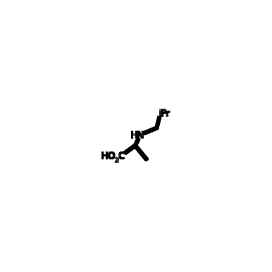 CC(C)CNC(C)C(=O)O